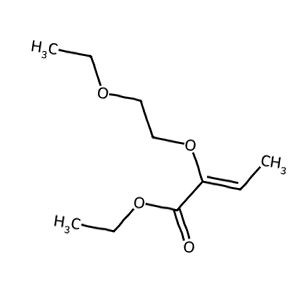 CC=C(OCCOCC)C(=O)OCC